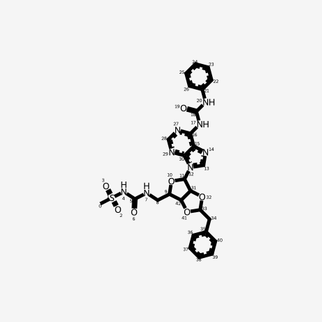 CS(=O)(=O)NC(=O)NCC1OC(n2cnc3c(NC(=O)Nc4ccccc4)ncnc32)C2OC(Cc3ccccc3)OC12